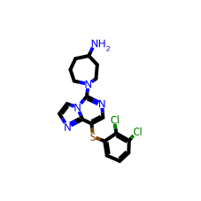 NC1CCCN(c2ncc(Sc3cccc(Cl)c3Cl)c3nccn23)CC1